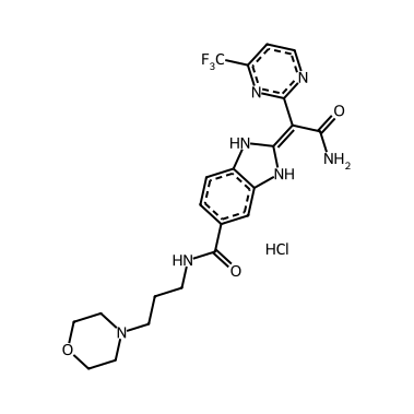 Cl.NC(=O)/C(=C1/Nc2ccc(C(=O)NCCCN3CCOCC3)cc2N1)c1nccc(C(F)(F)F)n1